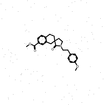 COC(=O)c1ccc2c(c1)CC1(CC2)CCN(CCc2ccc(OC)cc2)C1=O